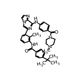 Cc1c(NC(=O)c2ccc(C(C)(C)C)cc2)cccc1-c1cn2ccnc2c(Nc2ccc(C(=O)N3CCN(C)CC3)cc2)n1